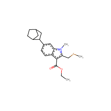 CCOC(=O)c1c(CSC)n(C)c2cc(C3CC4CCC3C4)ccc12